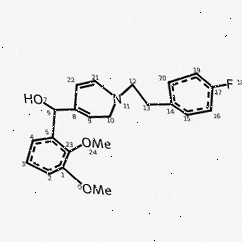 COc1cccc(C(O)C2=CCN(CCc3ccc(F)cc3)C=C2)c1OC